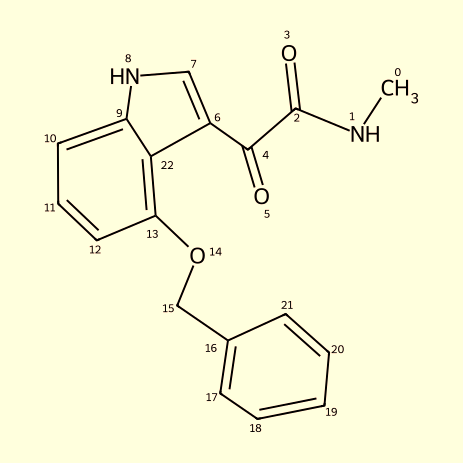 CNC(=O)C(=O)c1c[nH]c2cccc(OCc3ccccc3)c12